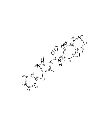 O=C(N[C@H]1CNc2ncncc2NC1=O)c1cc(Cc2ccccc2)n[nH]1